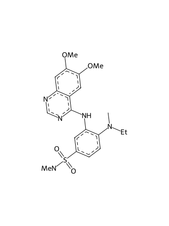 CCN(C)c1ccc(S(=O)(=O)NC)cc1Nc1ncnc2cc(OC)c(OC)cc12